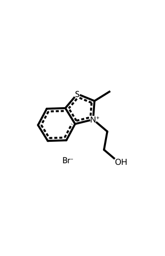 Cc1sc2ccccc2[n+]1CCO.[Br-]